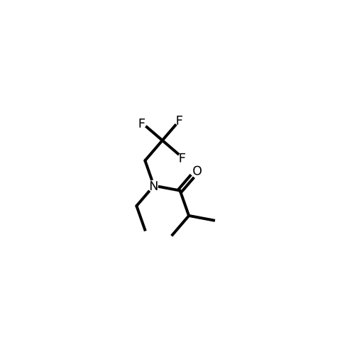 CCN(CC(F)(F)F)C(=O)C(C)C